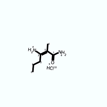 CCCC(N)=C(C)C(N)=O.Cl